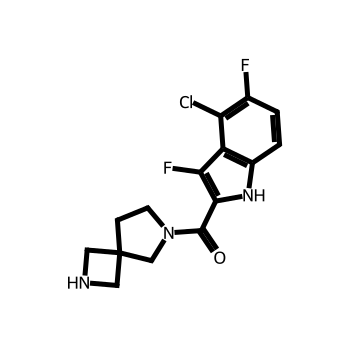 O=C(c1[nH]c2ccc(F)c(Cl)c2c1F)N1CCC2(CNC2)C1